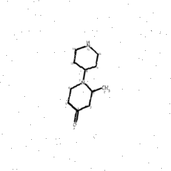 CC1CC(=O)CCN1C1CCNCC1